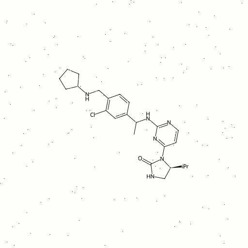 CC(Nc1nccc(N2C(=O)NC[C@@H]2C(C)C)n1)c1ccc(CNC2CCCC2)c(Cl)c1